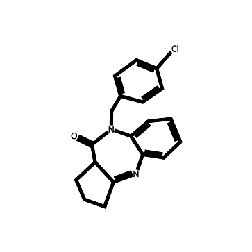 O=C1C2CCCC2=Nc2ccccc2N1Cc1ccc(Cl)cc1